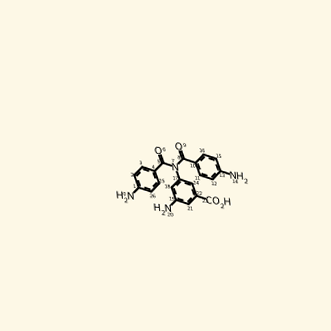 Nc1ccc(C(=O)N(C(=O)c2ccc(N)cc2)c2cc(N)cc(C(=O)O)c2)cc1